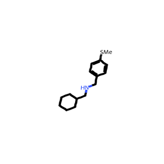 CSc1ccc(CNCC2CCCCC2)cc1